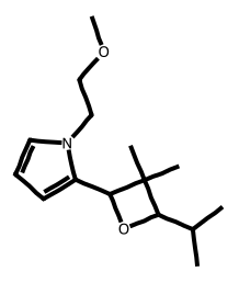 COCCn1cccc1C1OC(C(C)C)C1(C)C